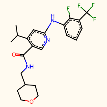 CC(C)c1cc(Nc2cccc(C(F)(F)F)c2F)ncc1C(=O)NCC1CCOCC1